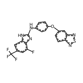 Fc1cc(C(F)(F)F)cc2[nH]c(Nc3ccc(Oc4ccc5nsnc5c4)cc3)nc12